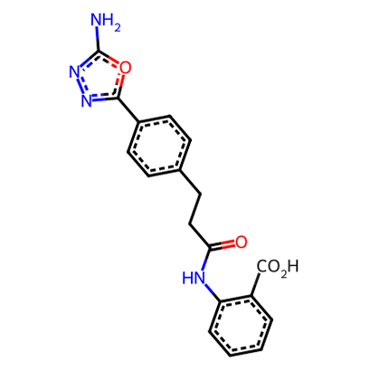 Nc1nnc(-c2ccc(CCC(=O)Nc3ccccc3C(=O)O)cc2)o1